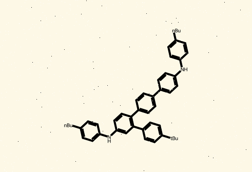 CCCCc1ccc(Nc2ccc(-c3ccc(-c4ccc(Nc5ccc(CCCC)cc5)cc4-c4ccc(C(C)(C)C)cc4)cc3)cc2)cc1